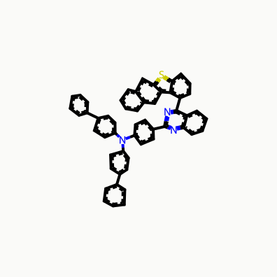 c1ccc(-c2ccc(N(c3ccc(-c4ccccc4)cc3)c3ccc(-c4nc(-c5cccc6sc7cc8ccccc8cc7c56)c5ccccc5n4)cc3)cc2)cc1